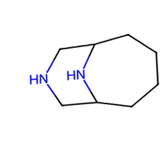 C1CCC2CNCC(C1)N2